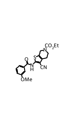 CCOC(=O)N1CCc2c(sc(NC(=O)c3cccc(OC)c3)c2C#N)C1